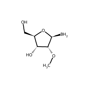 B[C@@H]1O[C@H](CO)[C@@H](O)[C@H]1OC